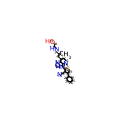 C=Nc1c(/C=C(\C)CNCCO)ccnc1Nc1scc(-c2ccccc2)c1C#N